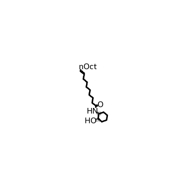 CCCCCCCCC=CCCCCCCCC(=O)N[C@H]1CCCC[C@@H]1O